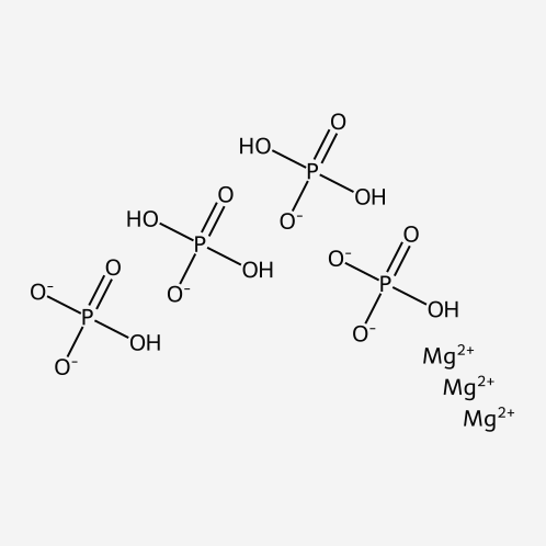 O=P([O-])(O)O.O=P([O-])(O)O.O=P([O-])([O-])O.O=P([O-])([O-])O.[Mg+2].[Mg+2].[Mg+2]